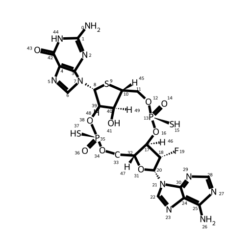 Nc1nc2c(ncn2[C@@H]2S[C@@H]3CO[P@@](=O)(S)O[C@H]4[C@H](F)[C@H](n5cnc6c(N)ncnc65)O[C@@H]4CO[P@@](=O)(S)O[C@@H]2[C@@H]3O)c(=O)[nH]1